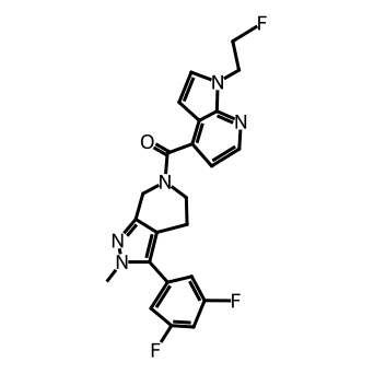 Cn1nc2c(c1-c1cc(F)cc(F)c1)CCN(C(=O)c1ccnc3c1ccn3CCF)C2